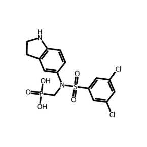 O=P(O)(O)CN(c1ccc2c(c1)CCN2)S(=O)(=O)c1cc(Cl)cc(Cl)c1